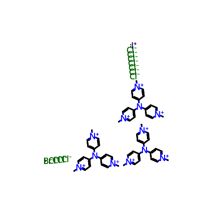 C[n+]1ccc(N(c2cc[n+](C)cc2)c2cc[n+](C)cc2)cc1.C[n+]1ccc(N(c2cc[n+](C)cc2)c2cc[n+](C)cc2)cc1.C[n+]1ccc(N(c2cc[n+](C)cc2)c2cc[n+](C)cc2)cc1.[Br+].[Cl-].[Cl-].[Cl-].[Cl-].[Cl-].[Cl-].[Cl-].[Cl-].[Cl-].[Cl-].[Cl-].[I+]